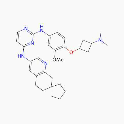 COc1cc(Nc2nccc(Nc3cnc4c(c3)CCC3(CCCC3)C4)n2)ccc1OC1CC(N(C)C)C1